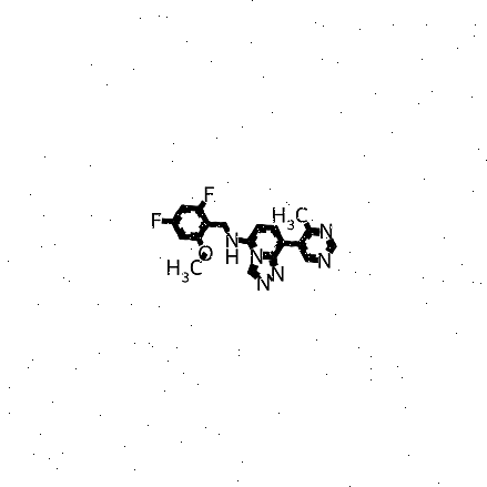 COc1cc(F)cc(F)c1CNc1ccc(-c2cncnc2C)c2nncn12